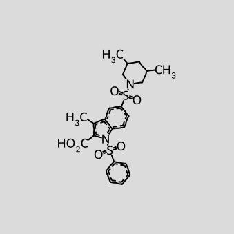 Cc1c(C(=O)O)n(S(=O)(=O)c2ccccc2)c2ccc(S(=O)(=O)N3CC(C)CC(C)C3)cc12